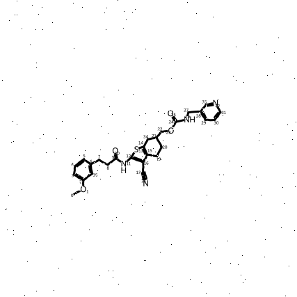 COc1cccc(CCC(=O)Nc2sc3c(c2C#N)CCC(COC(=O)NCc2cccnc2)C3)c1